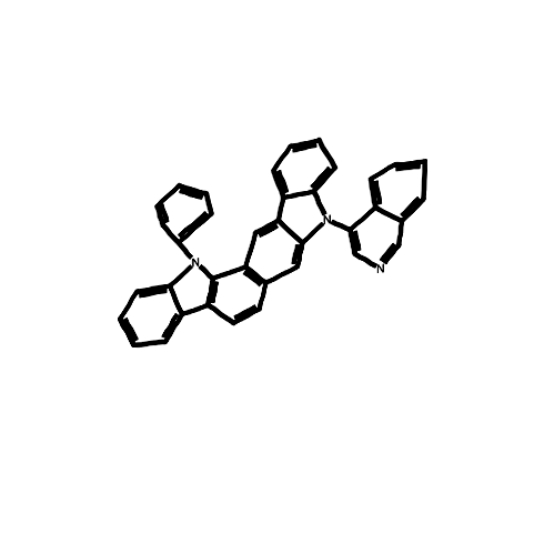 c1ccc(-n2c3ccccc3c3ccc4cc5c(cc4c32)c2ccccc2n5-c2cncc3ccccc23)cc1